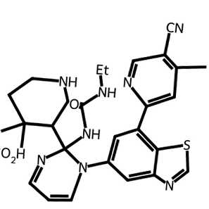 CCNC(=O)NC1(C2CNCCC2(C)C(=O)O)N=CC=CN1c1cc(-c2cc(C)c(C#N)cn2)c2scnc2c1